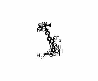 C=CCOC(=O)[C@H]1O[C@@H](OC(=O)c2cc(C(F)(F)F)c3cc(N4CCC5(C=C(c6c(-c7c(Cl)cncc7Cl)noc6C6CC6)C5)CC4)ccc3n2)[C@H](O)[C@@H](O)[C@@H]1O